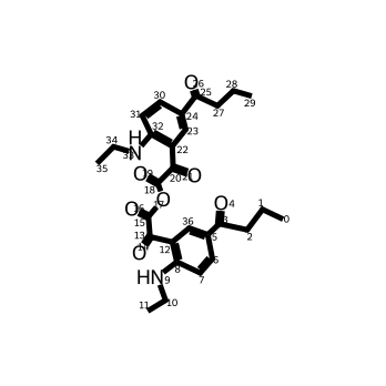 CCCC(=O)c1ccc(NCC)c(C(=O)C(=O)OC(=O)C(=O)c2cc(C(=O)CCC)ccc2NCC)c1